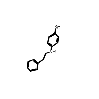 Sc1ccc(NCCc2ccccc2)cc1